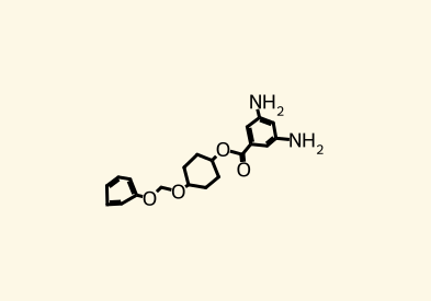 Nc1cc(N)cc(C(=O)OC2CCC(OCOc3ccccc3)CC2)c1